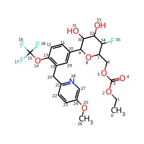 CCOC(=O)OCC1OC(c2ccc(OC(F)(F)F)c(Cc3ccc(OC)cn3)c2)C(O)C(O)C1F